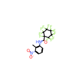 Cc1c(NC(=O)C2(F)C(F)(F)C(F)(F)C(F)(F)C(F)(F)C2(F)F)cccc1[N+](=O)[O-]